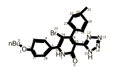 CCCCOc1ccc(-c2[nH]c(=O)c(-c3nnn[nH]3)c(-c3ccc(C)cc3)c2Br)cc1